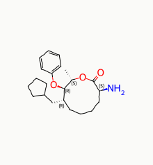 C[C@@H]1OC(=O)[C@@H](N)CCCC[C@H](CC2CCCC2)[C@H]1Oc1ccccc1